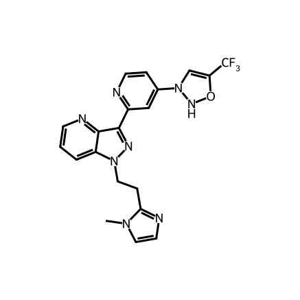 Cn1ccnc1CCn1nc(-c2cc(N3C=C(C(F)(F)F)ON3)ccn2)c2ncccc21